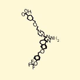 Nc1nc2c(c(N3CCN(CCOCC4CCC(C(=O)O)CC4)CC3)n1)CCc1cc(OCc3ccc(OC(F)(F)F)cc3)ccc1-2